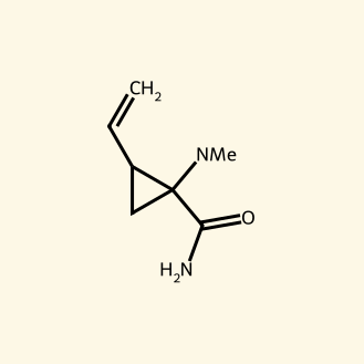 C=CC1CC1(NC)C(N)=O